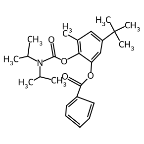 Cc1cc(C(C)(C)C)cc(OC(=O)c2ccccc2)c1OC(=O)N(C(C)C)C(C)C